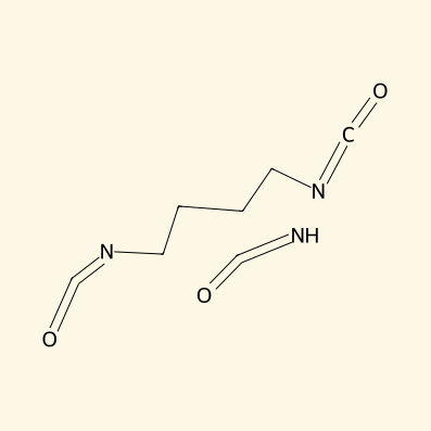 N=C=O.O=C=NCCCCN=C=O